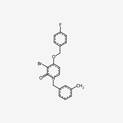 [CH2]c1cccc(Cn2ccc(OCc3ccc(F)cc3)c(Br)c2=O)c1